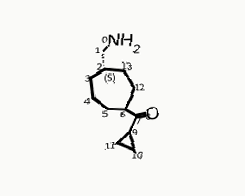 NC[C@H]1CCCC(C(=O)C2CC2)CC1